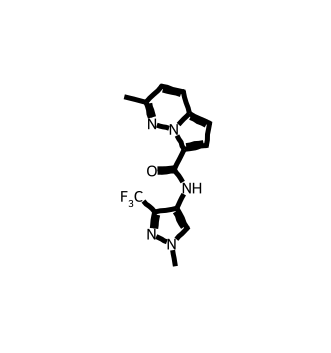 Cc1ccc2ccc(C(=O)Nc3cn(C)nc3C(F)(F)F)n2n1